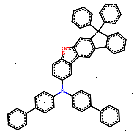 c1ccc(-c2ccc(N(c3ccc(-c4ccccc4)cc3)c3ccc4oc5cc6c(cc5c4c3)-c3ccccc3C6(c3ccccc3)c3ccccc3)cc2)cc1